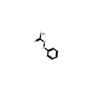 C[N]C(=O)[N]Oc1ccccc1